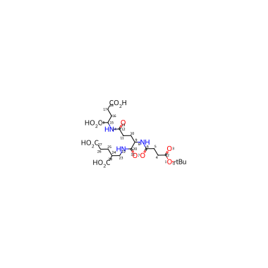 CC(C)(C)OC(=O)CCC(=O)NC(CCC(=O)NC(CCC(=O)O)C(=O)O)C(=O)NCC(CCC(=O)O)C(=O)O